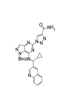 CCC(C)n1ncc2nc(-n3cc(C(N)=O)nn3)nc(NC(c3cnc4ccccc4c3)C3CC3)c21